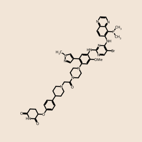 COc1cc(N2CCN(C(=O)CN3CCC(c4ccc(OC5CCC(=O)NC5=O)cc4)CC3)CC2)c(-c2cnn(C)c2)cc1Nc1ncc(Br)c(Nc2ccc3nccnc3c2P(C)C)n1